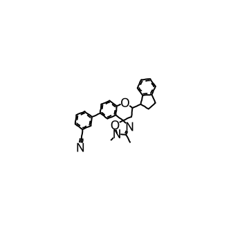 CC1=NC2(CC(C3CCc4ccccc43)Oc3ccc(-c4cccc(C#N)c4)cc32)ON1C